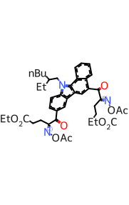 CCCCC(CC)Cn1c2ccc(C(=O)/C(CCC(=O)OCC)=N\OC(C)=O)cc2c2cc(C(=O)/C(CCC(=O)OCC)=N/OC(C)=O)c3ccccc3c21